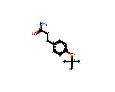 NC(=O)CCc1ccc(OC(F)(F)F)cc1